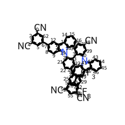 N#Cc1cc(C#N)cc(-c2ccc3c(c2)c2ccccc2n3-c2ccc(-c3ccc(C(F)(F)F)cc3C(F)(F)F)cc2-c2ccc(C#N)cc2-n2c3ccccc3c3cc(-c4cc(C#N)cc(C#N)c4)ccc32)c1